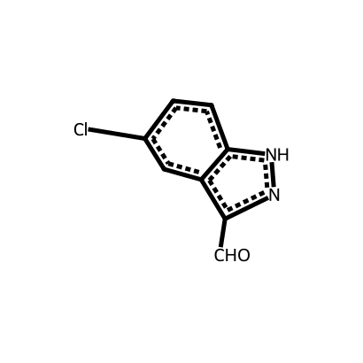 O=Cc1n[nH]c2ccc(Cl)cc12